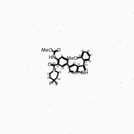 COC(=O)Nc1ccc(-c2cnc3[nH]cc(-c4ccccc4OC)c3c2)cc1C(=O)N1CCC(F)(F)CC1